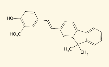 CC1(C)c2ccccc2-c2ccc(C=Cc3ccc(O)c(C(=O)O)c3)cc21